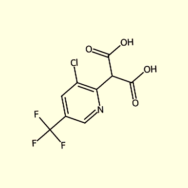 O=C(O)C(C(=O)O)c1ncc(C(F)(F)F)cc1Cl